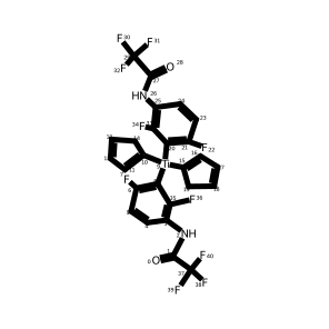 O=C(Nc1ccc(F)[c]([Ti]([C]2=CC=CC2)([C]2=CC=CC2)[c]2c(F)ccc(NC(=O)C(F)(F)F)c2F)c1F)C(F)(F)F